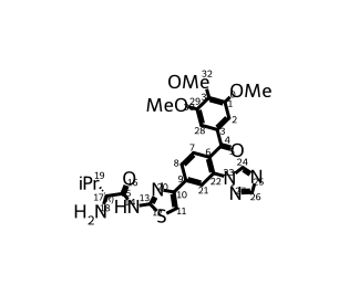 COc1cc(C(=O)c2ccc(-c3csc(NC(=O)[C@H](N)C(C)C)n3)cc2-n2cncn2)cc(OC)c1OC